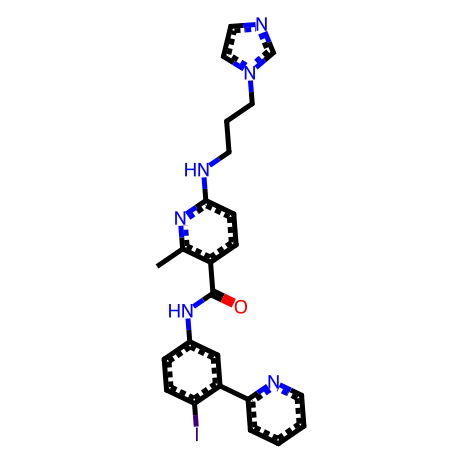 Cc1nc(NCCCn2ccnc2)ccc1C(=O)Nc1ccc(I)c(-c2ccccn2)c1